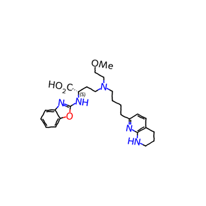 COCCN(CCCCc1ccc2c(n1)NCCC2)CC[C@H](Nc1nc2ccccc2o1)C(=O)O